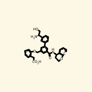 N[C@H](CO)c1cccc(-c2cc(COc3ccccc3CC(=O)O)cc(C(=O)NC3CCOc4ccccc43)c2)c1